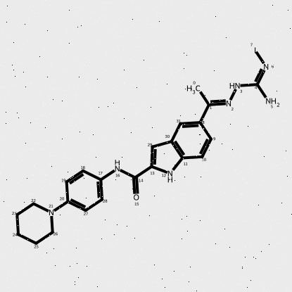 C/C(=N\N/C(N)=N\I)c1ccc2[nH]c(C(=O)Nc3ccc(N4CCCCC4)cc3)cc2c1